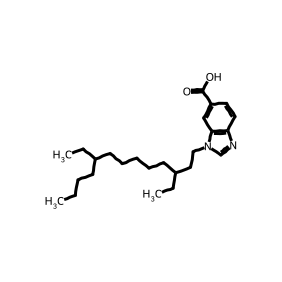 CCCCC(CC)CCCCCC(CC)CCn1cnc2ccc(C(=O)O)cc21